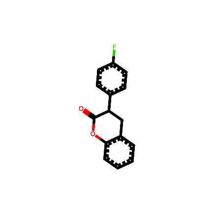 O=C1Oc2ccccc2CC1c1ccc(F)cc1